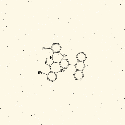 CC(C)c1cccc(C(C)C)c1N1C=CN(c2c(C(C)C)cccc2C(C)C)C1c1ccc(-c2c3ccccc3cc3ccccc23)cc1